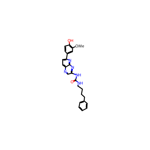 COc1cc(-c2ccc3ncc(NC(=O)NCCCCc4ccccc4)nc3n2)ccc1O